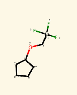 F[B-](F)(F)COC1CCCC1